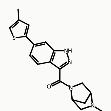 Cc1csc(-c2ccc3c(C(=O)N4CC5CC4CN5C)n[nH]c3c2)c1